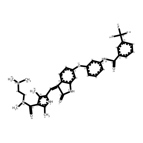 Cc1[nH]c(C=C2C(=O)Nc3cc(Oc4cccc(NC(=O)c5cccc(C(F)(F)F)c5)c4)ccc32)c(C)c1C(=O)N(C)CCN(C)C